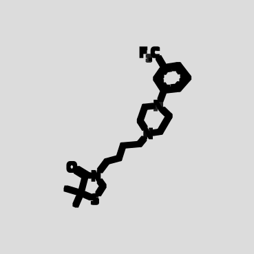 CC1(C)SCN(CCCCN2CCN(c3cccc(C(F)(F)F)c3)CC2)C1=O